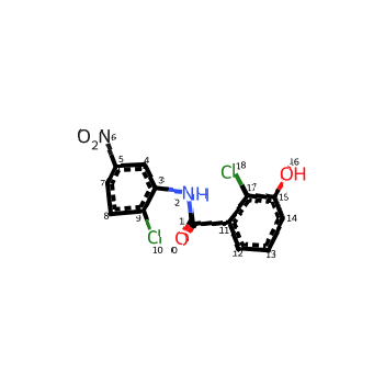 O=C(Nc1cc([N+](=O)[O-])ccc1Cl)c1cccc(O)c1Cl